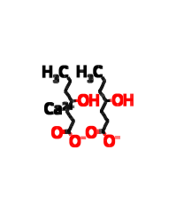 CCCC(O)CCC(=O)[O-].CCCC(O)CCC(=O)[O-].[Ca+2]